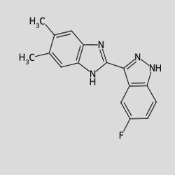 Cc1cc2nc(-c3n[nH]c4ccc(F)cc34)[nH]c2cc1C